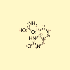 NC(=O)O.O=c1ncc2ccccc2[nH]1